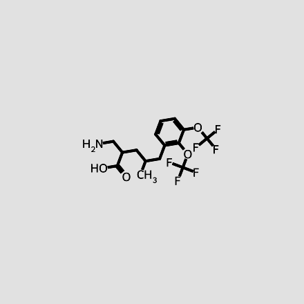 CC(Cc1cccc(OC(F)(F)F)c1OC(F)(F)F)CC(CN)C(=O)O